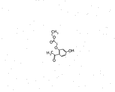 CCOC(=O)COc1cc(O)ccc1C(C)=O